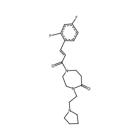 O=C(C=Cc1ccc(F)cc1F)N1CCC(=O)N(CCN2CCCC2)CC1